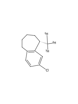 [2H]C([2H])([2H])[C@H]1CCCCc2ccc(Cl)cc21